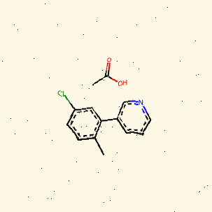 CC(=O)O.Cc1ccc(Cl)cc1-c1cccnc1